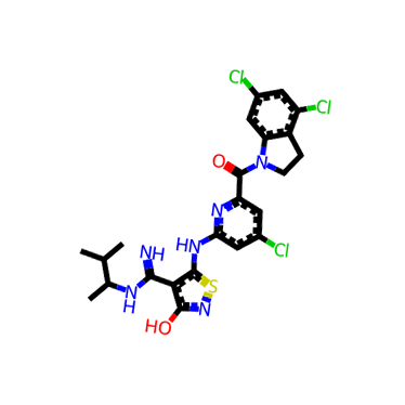 CC(C)C(C)NC(=N)c1c(O)nsc1Nc1cc(Cl)cc(C(=O)N2CCc3c(Cl)cc(Cl)cc32)n1